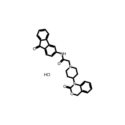 Cl.O=C(CN1CCC(N2C(=O)OCc3ccccc32)CC1)Nc1ccc2c(c1)-c1ccccc1C2=O